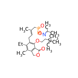 CCc1c(C)c2c(c(OCC[Si](C)(C)C)c1C/C=C(\C)C[PH](=O)ON=C(C)C)C(=O)OC2